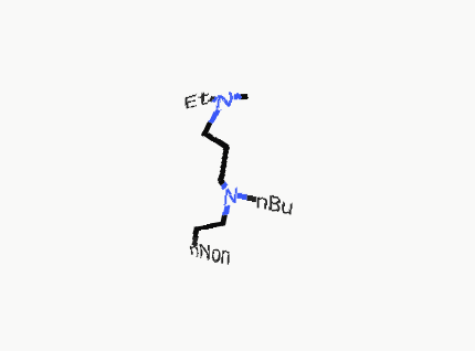 CCCCCCCCCCCN(CCCC)CCCN(C)CC